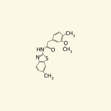 COc1cc(CC(=O)Nc2nc3ccc(C)cc3s2)ccc1C